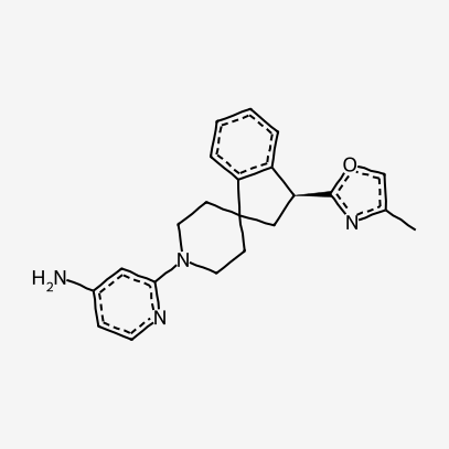 Cc1coc([C@H]2CC3(CCN(c4cc(N)ccn4)CC3)c3ccccc32)n1